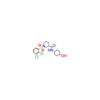 O=C(N[C@H]1CC[C@H](O)CC1)C1CCCN(S(=O)(=O)c2cccc(Cl)c2Cl)C1